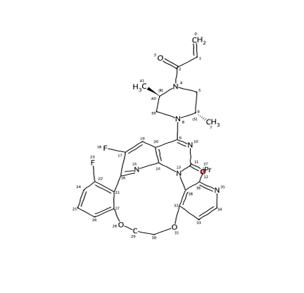 C=CC(=O)N1C[C@H](C)N(c2nc(=O)n3c4nc(c(F)cc24)-c2c(F)cccc2OCCOc2ccnc(C(C)C)c2-3)C[C@H]1C